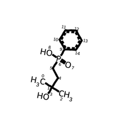 CC(C)(O)CCP(=O)(O)c1ccccc1